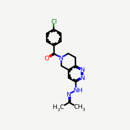 CC(C)=NNc1cc2c(nn1)CCN(C(=O)c1ccc(Cl)cc1)C2